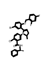 CC1CC=C(c2cc(Br)ccc2OCc2ccc(F)cc2F)N1c1ccc(Cl)c(C(=O)N[C@@H](C)c2ccccc2)c1